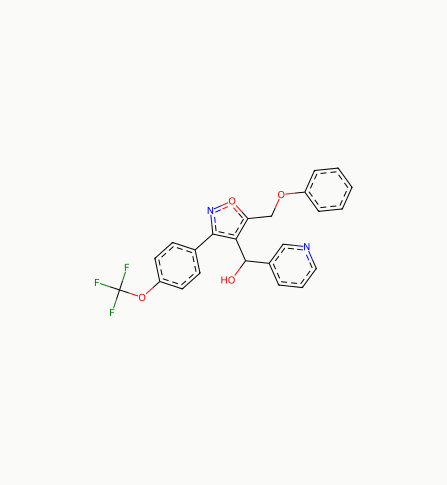 OC(c1cccnc1)c1c(-c2ccc(OC(F)(F)F)cc2)noc1COc1ccccc1